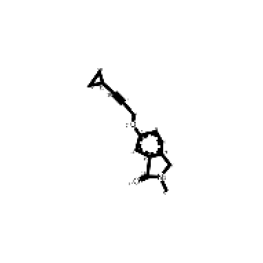 CN1Cc2ccc(OCC#CC3CC3)cc2C1=O